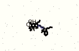 CCCC[N+]1=C(/C=C/C=C2/N(CCC)c3cc(C(=O)O)c4c(c3C2(C)C)N=C(C)C4(C)C)C(C)(C)c2ccccc21